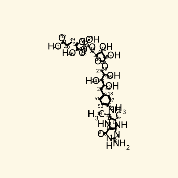 C[C@@H]1Nc2nc(N)[nH]c(=O)c2N[C@H]1[C@@H](C)Nc1ccc(C[C@H](O)[C@H](O)[C@H](O)CO[C@H]2O[C@H](COP(=O)(O)O[C@@H](CCC(=O)O)C(=O)O)[C@@H](O)[C@H]2O)cc1